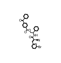 N#C/C(=C\c1cccc(Br)n1)C(=O)NC(COC(=O)c1ccc(C(=O)c2ccccc2)cc1)c1ccccc1